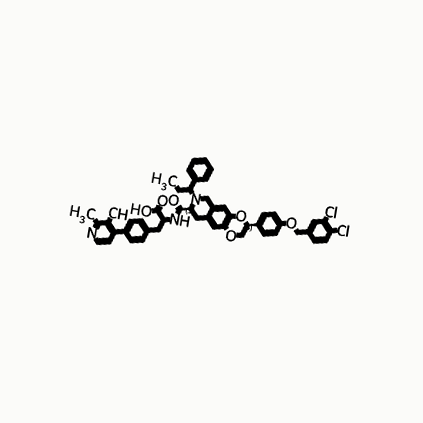 CCC(c1ccccc1)N1Cc2cc3c(cc2C[C@H]1C(=O)NC(Cc1ccc(-c2ccnc(C)c2C)cc1)C(=O)O)OC[C@H](c1ccc(OCc2ccc(Cl)c(Cl)c2)cc1)O3